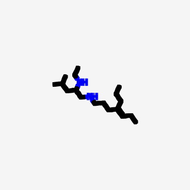 CC/C=C(\CCC)CCCNCC(CC(C)C)NCC